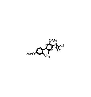 CCC(CC)Nc1nc(C)c(-c2ccc(OC)cc2C(F)(F)F)nc1OC